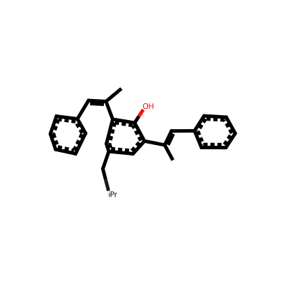 CC(=Cc1ccccc1)c1cc(CC(C)C)cc(C(C)=Cc2ccccc2)c1O